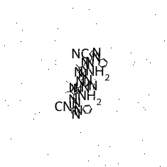 [C-]#[N+]c1cnn(-c2ccccc2)c1N=Nc1c(C)nn(-c2nc(N(C)C)nc(-n3nc(C)c(N=Nc4c(C#N)cnn4-c4ccccc4)c3N)n2)c1N